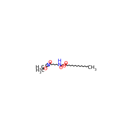 CCCCCCCCCCCCCCCC(=O)OCC(=O)NCCCCCC(=O)N1CC[C@H](OC(C)C)C1